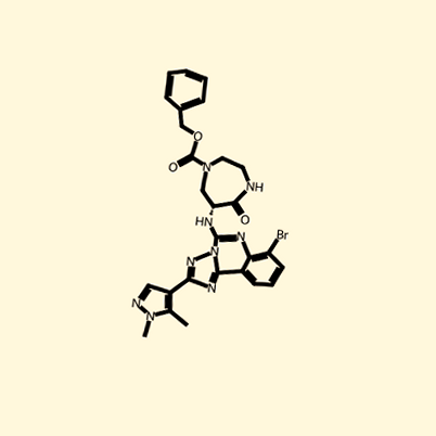 Cc1c(-c2nc3c4cccc(Br)c4nc(N[C@@H]4CN(C(=O)OCc5ccccc5)CCNC4=O)n3n2)cnn1C